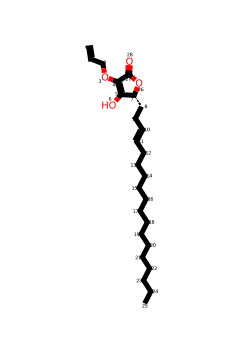 C=CCOC1=C(O)[C@@H](CCC=CCCCCCCCCCCCCCC)OC1=O